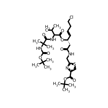 CC(C)C(NC(=O)C(C)(C)NC(=O)OC(C)(C)C)C(=O)O[C@H](/C=C/CCCl)CC(=O)NCc1nc(C(=O)OC(C)(C)C)cs1